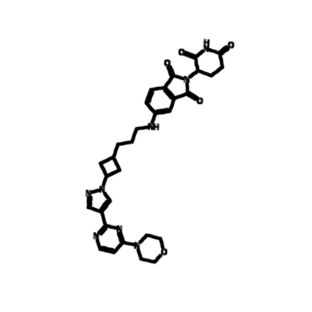 O=C1CCC(N2C(=O)c3ccc(NCCCC4CC(n5cc(-c6nccc(N7CCOCC7)n6)cn5)C4)cc3C2=O)C(=O)N1